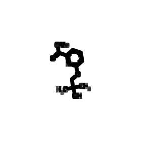 COC(=O)c1cccc(OCC(C)(C)O)n1